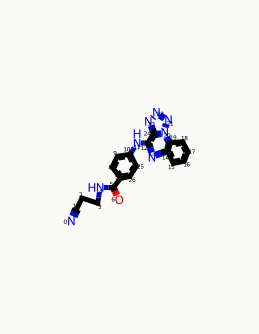 N#CCCNC(=O)c1ccc(Nc2nc3ccccc3n3nnnc23)cc1